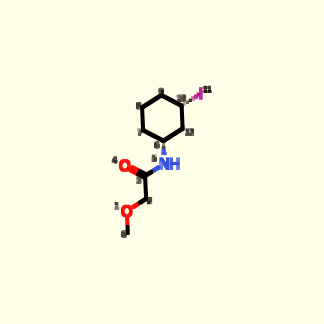 COCC(=O)N[C@@H]1CCC[C@H](I)C1